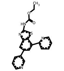 CCOC(=O)Nc1nc2cc(-c3cccnc3)cc(-c3ccccn3)c2s1